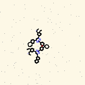 C=Cc1ccc(-c2cc(-c3ccc4c(c3)C=CCCC4)nc(-c3ccc(C4(c5ccc(-c6nc(-c7ccc(C=C)c(/C=C\C)c7)cc(-c7ccc8ccccc8c7)n6)cc5)CCCCC4)cc3)n2)cc1/C=C\C